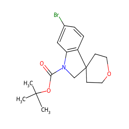 CC(C)(C)OC(=O)N1CC2(CCOCC2)c2ccc(Br)cc21